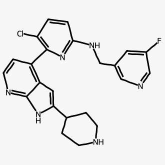 Fc1cncc(CNc2ccc(Cl)c(-c3ccnc4[nH]c(C5CCNCC5)cc34)n2)c1